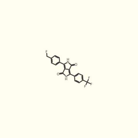 O=C1NC(c2ccc(C(F)(F)F)cc2)=C2C(=O)NC(c3ccc(CF)cc3)=C12